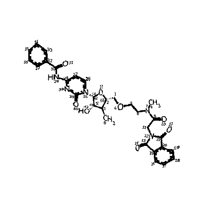 CC1[C@@H](COCCN(C)C(=O)CN2C(=O)c3ccccc3C2=O)O[C@@H](n2ccc(NC(=O)c3ccccc3)nc2=O)[C@H]1O